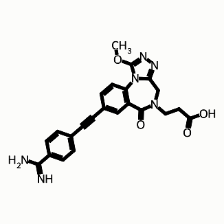 COc1nnc2n1-c1ccc(C#Cc3ccc(C(=N)N)cc3)cc1C(=O)N(CCC(=O)O)C2